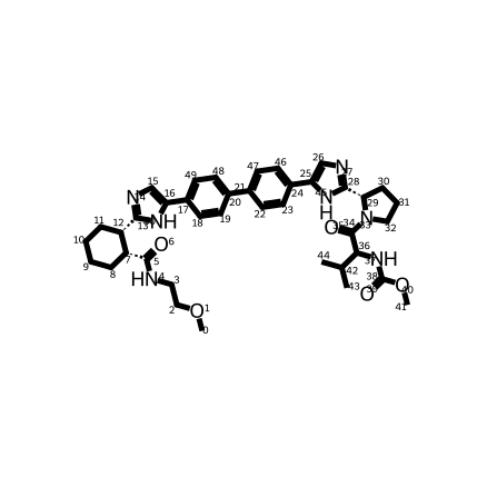 COCCNC(=O)[C@@H]1CCCC[C@@H]1c1ncc(-c2ccc(-c3ccc(-c4cnc([C@@H]5CCCN5C(=O)C(NC(=O)OC)C(C)C)[nH]4)cc3)cc2)[nH]1